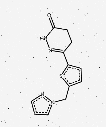 O=C1CCC(c2ccc(Cn3cccn3)s2)=NN1